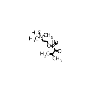 C=C(C)C(=O)[PH](=O)OCC[N+](C)(C)C